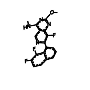 CNc1nc(OC)nc2c(F)c(-c3cccc4ccc(F)c(F)c34)ncc12